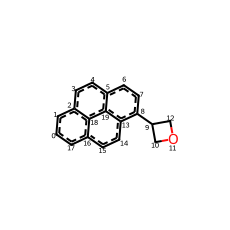 c1cc2ccc3ccc(C4COC4)c4ccc(c1)c2c34